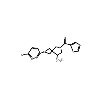 CCOC(=O)C1CN(C(=O)c2cncs2)CC12CN(c1ccc(Cl)nn1)C2